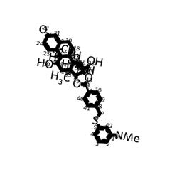 CNc1cccc(SCc2ccc([C@@H]3O[C@@H]4C[C@H]5[C@@H]6CCC7=CC(=O)C=C[C@]7(C)[C@H]6[C@@H](O)C[C@]5(C)[C@]4(C(=O)CO)O3)cc2)c1